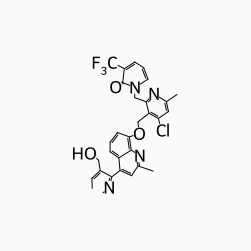 C/C=C(CO)\C(=N/C)c1cc(C)nc2c(OCc3c(Cl)cc(C)nc3Cn3cccc(C(F)(F)F)c3=O)cccc12